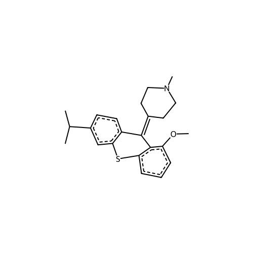 COc1cccc2c1C(=C1CCN(C)CC1)c1ccc(C(C)C)cc1S2